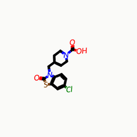 O=C(O)N1CCC(Cn2c(=O)sc3cc(Cl)ccc32)CC1